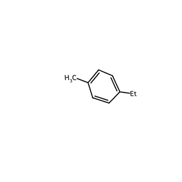 [CH]Cc1ccc(C)cc1